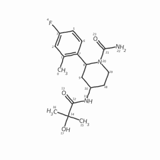 Cc1cc(F)ccc1C1CC(NC(=O)C(C)(C)O)CCN1C(N)=O